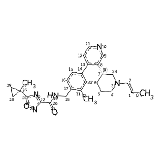 CC=CN1CCC[C@H](c2cnccc2-c2ccc(CNC(=O)c3noc(C4(C)CC4)n3)c(C)c2)C1